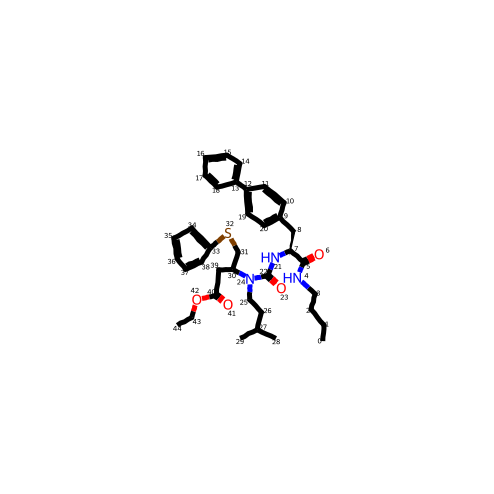 CCCCNC(=O)[C@H](Cc1ccc(-c2ccccc2)cc1)NC(=O)N(CCC(C)C)C(CSc1ccccc1)CC(=O)OCC